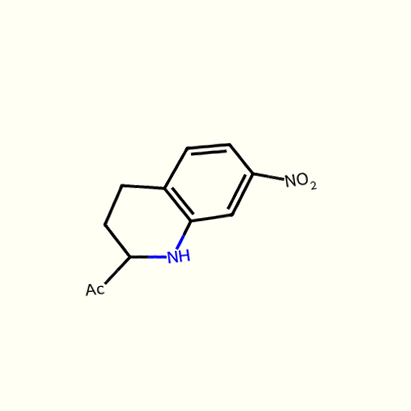 CC(=O)C1CCc2ccc([N+](=O)[O-])cc2N1